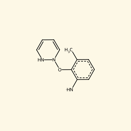 Cc1cccc([NH])c1ON1C=CC=CN1